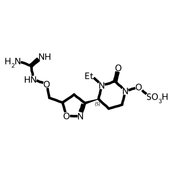 CCN1C(=O)N(OS(=O)(=O)O)CC[C@H]1C1=NOC(CONC(=N)N)C1